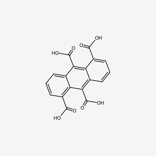 O=C(O)c1cccc2c(C(=O)O)c3c(C(=O)O)cccc3c(C(=O)O)c12